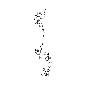 CC(C)NC(=O)O[C@@H]1CC[C@H](c2cc(NC(=O)c3ccnn3CCCCCCCC#Cc3ccc4c(c3)n(C)c(=O)n4C3CCC(=O)NC3=O)[nH]n2)C1